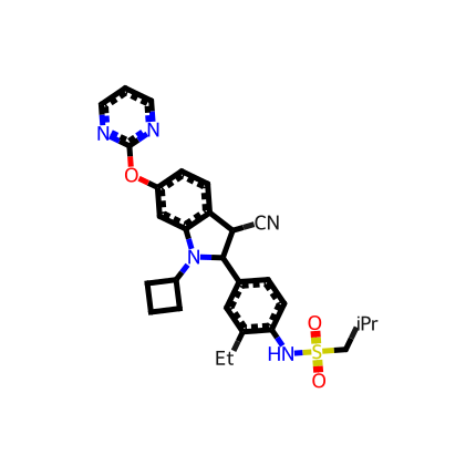 CCc1cc(C2C(C#N)c3ccc(Oc4ncccn4)cc3N2C2CCC2)ccc1NS(=O)(=O)CC(C)C